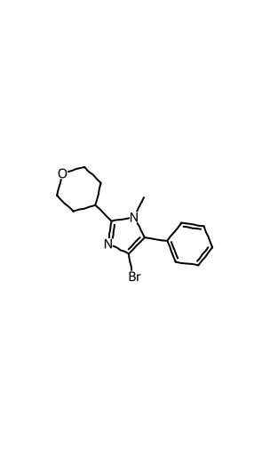 Cn1c(C2CCOCC2)nc(Br)c1-c1ccccc1